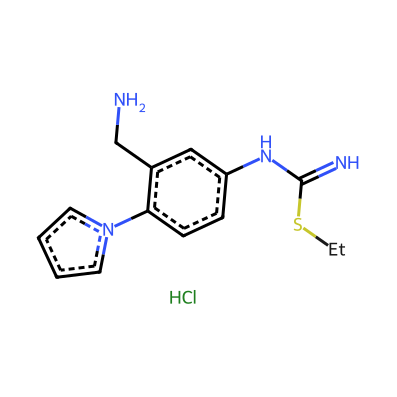 CCSC(=N)Nc1ccc(-n2cccc2)c(CN)c1.Cl